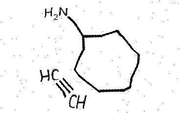 C#C.NC1CCCCC1